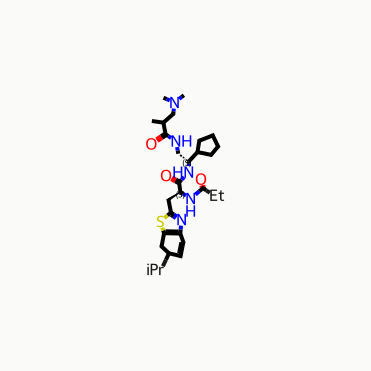 CCC(=O)N[C@@H](Cc1nc2c(s1)CC(C(C)C)C=C2)C(=O)N[C@H](CNC(=O)C(C)CN(C)C)C1CCCC1